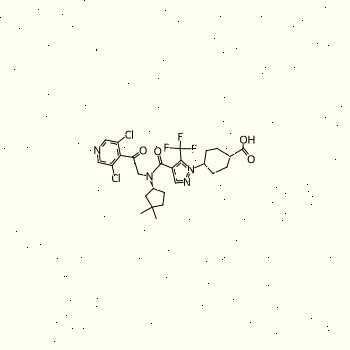 CC1(C)CC[C@H](N(CC(=O)c2c(Cl)cncc2Cl)C(=O)c2cnn(C3CCC(C(=O)O)CC3)c2C(F)(F)F)C1